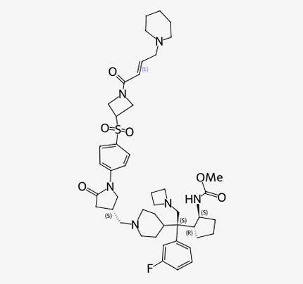 COC(=O)N[C@H]1CCC[C@@H]1[C@](CN1CCC1)(c1cccc(F)c1)C1CCN(C[C@@H]2CC(=O)N(c3ccc(S(=O)(=O)C4CN(C(=O)/C=C/CN5CCCCC5)C4)cc3)C2)CC1